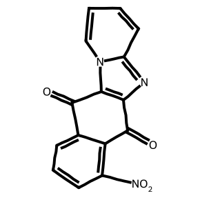 O=C1c2nc3ccccn3c2C(=O)c2cccc([N+](=O)[O-])c21